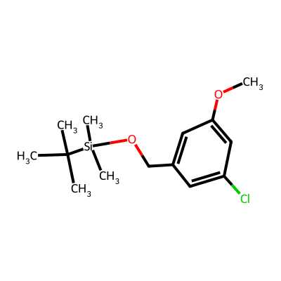 COc1cc(Cl)cc(CO[Si](C)(C)C(C)(C)C)c1